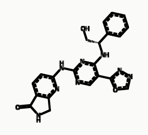 O=C1NCc2nc(Nc3ncc(-c4nnco4)c(N[C@H](CO)c4ccccc4)n3)ccc21